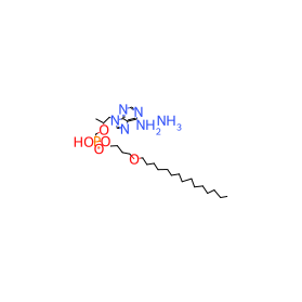 CCCCCCCCCCCCCCCOCCCCOP(=O)(O)COC(C)Cn1cnc2c(N)ncnc21.N